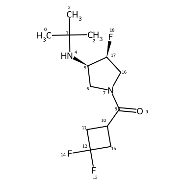 CC(C)(C)N[C@@H]1CN(C(=O)C2CC(F)(F)C2)C[C@@H]1F